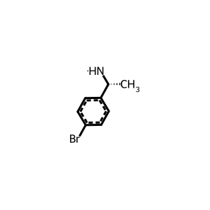 C[C@@H]([NH])c1ccc(Br)cc1